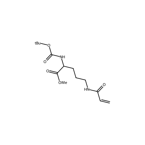 C=CC(=O)NCCCC(NC(=O)OC(C)(C)C)C(=O)OC